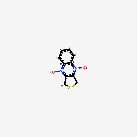 [O-][n+]1c2c([n+]([O-])c3ccccc31)CSC2